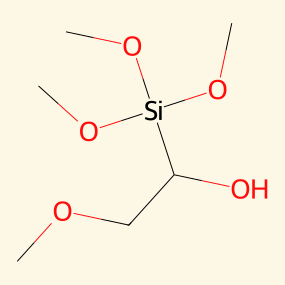 COCC(O)[Si](OC)(OC)OC